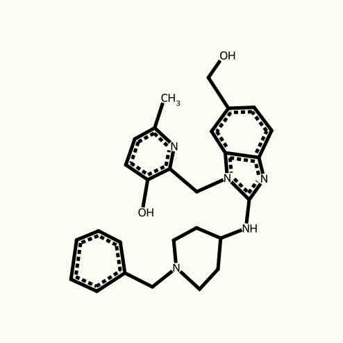 Cc1ccc(O)c(Cn2c(NC3CCN(Cc4ccccc4)CC3)nc3ccc(CO)cc32)n1